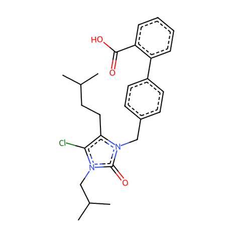 CC(C)CCc1c(Cl)n(CC(C)C)c(=O)n1Cc1ccc(-c2ccccc2C(=O)O)cc1